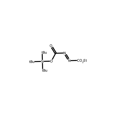 CCOC(=O)N=NC(=O)O[Si](C(C)(C)C)(C(C)(C)C)C(C)(C)C